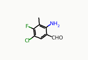 Cc1c(N)c(C=O)cc(Cl)c1F